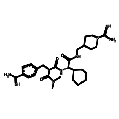 CN(C)C(=O)C(Cc1ccc(C(=N)N)cc1)C(=O)N[C@H](C(=O)NCC1CCN(C(=N)N)CC1)C1CCCCC1